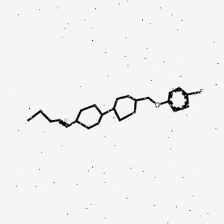 CCC/C=C/C1CCC(C2CCC(COc3ccc(F)cc3)CC2)CC1